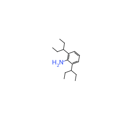 CCC(CC)c1cccc(C(CC)CC)c1N